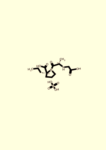 CCC[C@@]1(C(=O)O)CCCN1C(=O)[C@H](C)NCC(=O)O.O=S(=O)(O)O